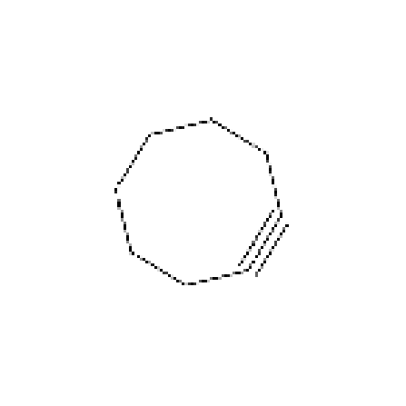 C1#CCCCCCC1